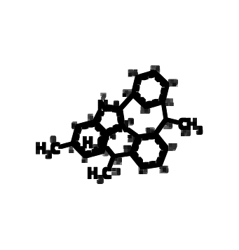 Cc1ccc2c(c1)nc1n2-c2c(C(C)C)cccc2C(C)c2cccc-1c2